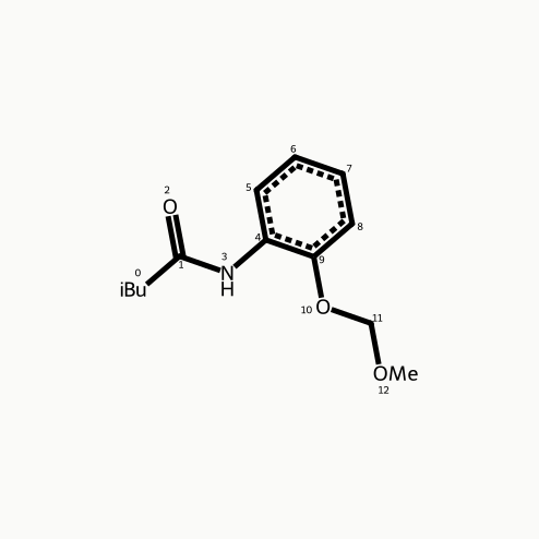 CCC(C)C(=O)Nc1ccccc1OCOC